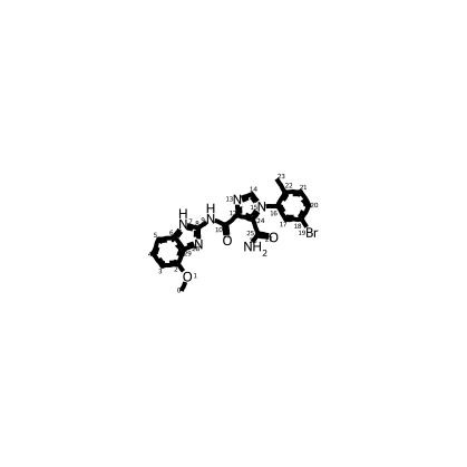 COc1cccc2[nH]c(NC(=O)c3ncn(-c4cc(Br)ccc4C)c3C(N)=O)nc12